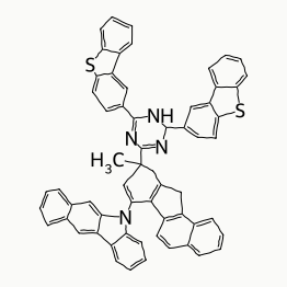 CC1(C2=NC(c3ccc4sc5ccccc5c4c3)NC(c3ccc4sc5ccccc5c4c3)=N2)C=C(n2c3ccccc3c3cc4ccccc4cc32)C2=C(Cc3c2ccc2ccccc32)C1